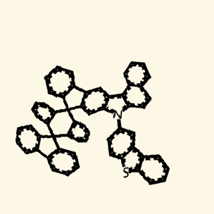 c1ccc2c(c1)-c1ccccc1C21c2ccccc2C2(c3ccccc3-c3cc4c5c6ccccc6ccc5n(-c5ccc6sc7ccccc7c6c5)c4cc32)c2ccccc21